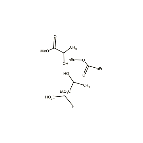 CCCCOC(=O)CCC.CCOC(=O)C(C)O.COC(=O)C(C)O.O=C(O)CF